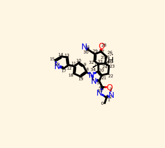 Cc1noc(-c2nn(-c3ccc(-c4cccnc4)cc3)c3c2CC[C@@H]2[C@@H](C)C(=O)C(C#N)=C[C@@]32C)n1